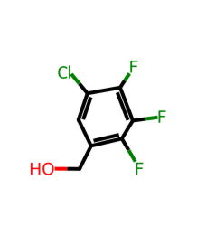 OCc1cc(Cl)c(F)c(F)c1F